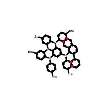 CC(C)(C)c1ccc(N2c3ccc(C(C)(C)C)cc3B3c4cc(C(C)(C)C)ccc4N(c4ccc(C(C)(C)C)cc4)c4cc(N(c5ccc(C(C)(C)C)cc5)c5c(-c6ccccc6)ccc6ccccc56)cc2c43)cc1